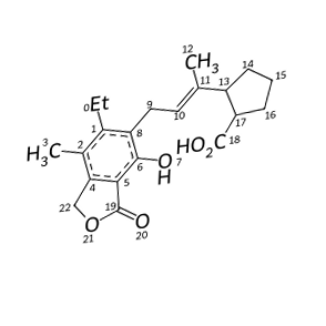 CCc1c(C)c2c(c(O)c1C/C=C(\C)C1CCCC1C(=O)O)C(=O)OC2